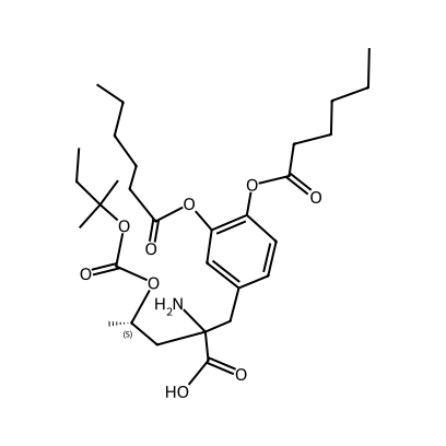 CCCCCC(=O)Oc1ccc(CC(N)(C[C@H](C)OC(=O)OC(C)(C)CC)C(=O)O)cc1OC(=O)CCCCC